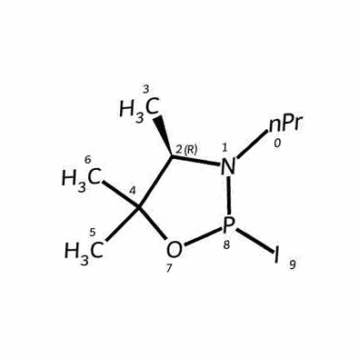 CCCN1[C@H](C)C(C)(C)OP1I